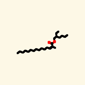 CCCCCCCCCCCCC=C(C)C(=O)OCC(CC)CCCC